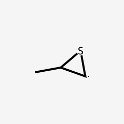 CC1[CH]S1